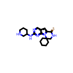 S=C1NCC2(CCCCC2)n2c1cc1cnc(NC3CCCNC3)nc12